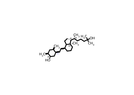 C=C1CC(=C)[C@H](O)C/C1=C/C=C1CCC[C@@]2(C)C1CC[C@@H]2[C@H](C)CCCC(C)(C)O